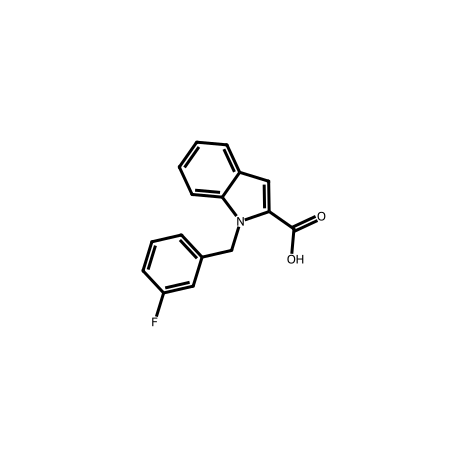 O=C(O)c1cc2ccccc2n1Cc1cccc(F)c1